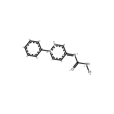 CCNC(=O)N=c1ccn(-c2ccccc2)nc1